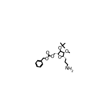 CO[C@H]1C(OC(C)(C)C)[C@@H](COC(=O)OCc2ccccc2)O[C@H]1CCCN